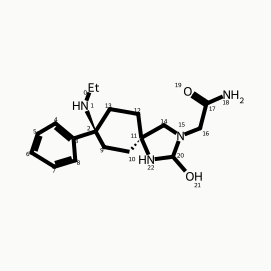 CCN[C@]1(c2ccccc2)CC[C@]2(CC1)CN(CC(N)=O)C(O)N2